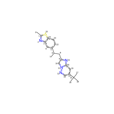 Cc1nc2cc(C(C)Cc3cn4ncc(C(C)(C)C)cc4n3)ccc2s1